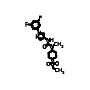 CCS(=O)(=O)N1CCC(N(C)C(=O)Nc2cnn(-c3cc(F)cc(F)c3)c2)CC1